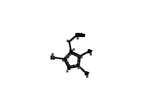 CCc1nc(Br)c(Br)n1COC